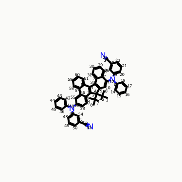 CC(C)(C)C1(C(C)(C)C)c2cc(N(c3ccccc3)c3cccc(C#N)c3)c3ccccc3c2-c2c1c1ccc(N(c3ccccc3)c3cccc(C#N)c3)cc1c1ccccc21